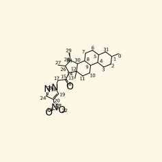 CC1CCC2C(CCC3C2CCC2(C)C(C(=O)Cn4cc([N+](=O)[O-])cn4)C(C)[C@@H](C)C32)C1